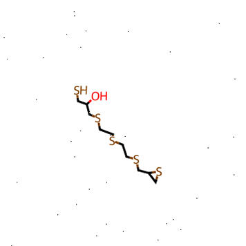 OC(CS)CSCCSCCSCC1CS1